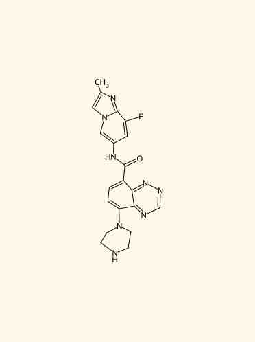 Cc1cn2cc(NC(=O)c3ccc(N4CCNCC4)c4ncnnc34)cc(F)c2n1